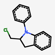 ClCC1Cc2ccccc2N1c1ccccc1